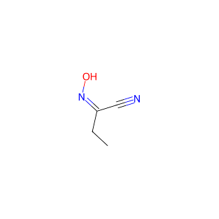 CC/C(C#N)=N/O